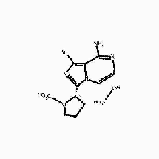 Nc1nccn2c([C@@H]3CCCN3C(=O)O)nc(Br)c12.O=S(=O)(O)O